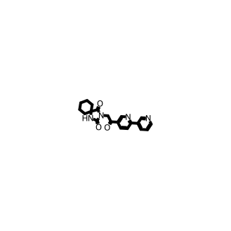 O=C(CN1C(=O)NC2(CCCCC2)C1=O)c1ccc(-c2cccnc2)nc1